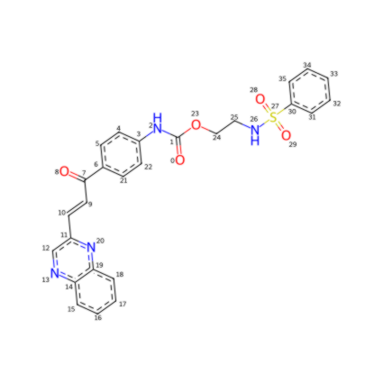 O=C(Nc1ccc(C(=O)C=Cc2cnc3ccccc3n2)cc1)OCCNS(=O)(=O)c1ccccc1